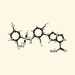 CNC(=O)c1ncn2cc(-c3c(F)ccc(NS(=O)(=O)c4cc(Cl)cnc4OC)c3F)sc12